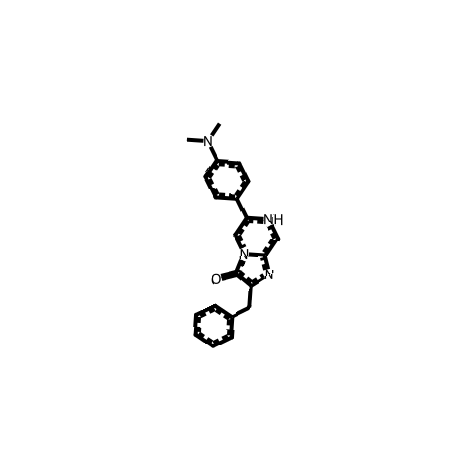 CN(C)c1ccc(-c2cn3c(=O)c(Cc4ccccc4)nc-3c[nH]2)cc1